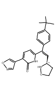 CC(C)(C)c1ccc(/C(=C/[C@H]2CCON2)c2ccc(-c3cnoc3)c(=O)[nH]2)cc1